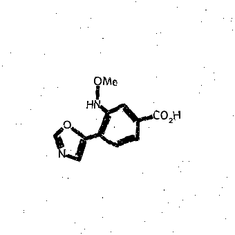 CONc1cc(C(=O)O)ccc1-c1cnco1